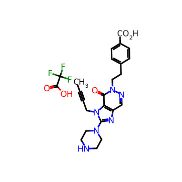 CC#CCn1c(N2CCNCC2)nc2cnn(CCc3ccc(C(=O)O)cc3)c(=O)c21.O=C(O)C(F)(F)F